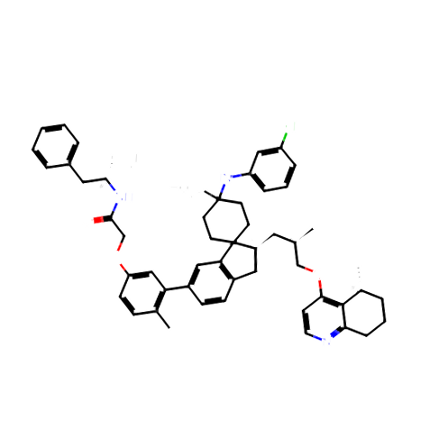 Cc1ccc(OCC(=O)N[C@H](Cc2ccccc2)C(=O)O)cc1-c1ccc2c(c1)C1(CCC(Nc3cccc(Cl)c3)(C(=O)O)CC1)[C@@H](C[C@@H](C)COc1ccnc3c1[C@H](C)CCC3)C2